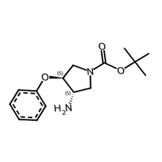 CC(C)(C)OC(=O)N1C[C@H](Oc2ccccc2)[C@@H](N)C1